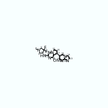 COc1nc(N[C@@H]2CN(C)CC2(F)F)nn2ccc(-c3cnc4nccn4c3)c12